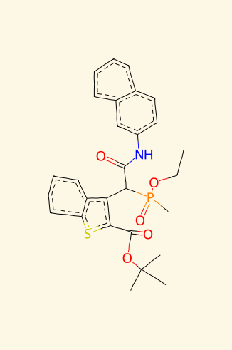 CCOP(C)(=O)C(C(=O)Nc1ccc2ccccc2c1)c1c(C(=O)OC(C)(C)C)sc2ccccc12